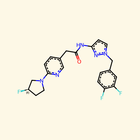 O=C(Cc1ccc(N2CC[C@@H](F)C2)nc1)Nc1ccn(Cc2ccc(F)c(F)c2)n1